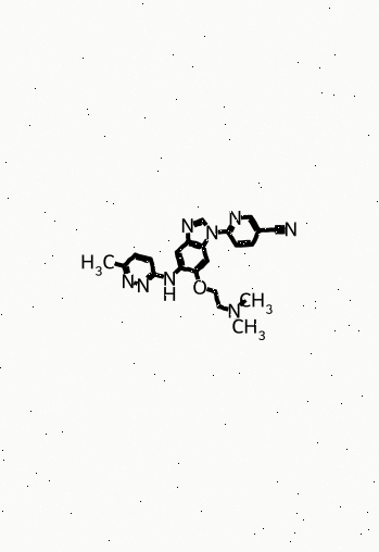 Cc1ccc(Nc2cc3ncn(-c4ccc(C#N)cn4)c3cc2OCCN(C)C)nn1